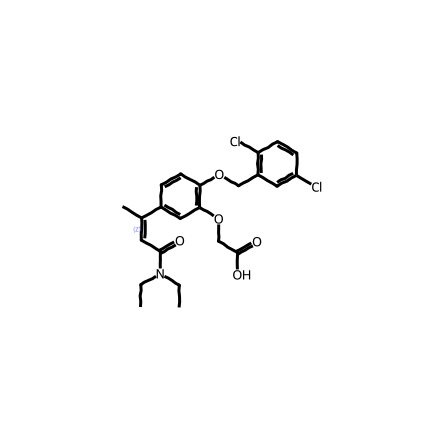 CCN(CC)C(=O)/C=C(/C)c1ccc(OCc2cc(Cl)ccc2Cl)c(OCC(=O)O)c1